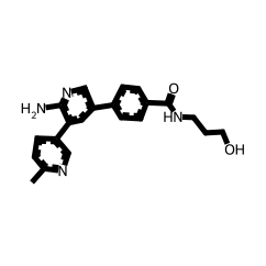 Cc1ccc(-c2cc(-c3ccc(C(=O)NCCCO)cc3)cnc2N)cn1